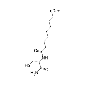 CCCCCCCCCCCCCCCCCC(=O)N[C@@H](CS)C(N)=O